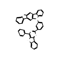 c1ccc(-c2nc(-c3cccc(-n4c5ccccc5c5cc6sc7ccccc7c6cc54)c3)nc3c2oc2ccccc23)cc1